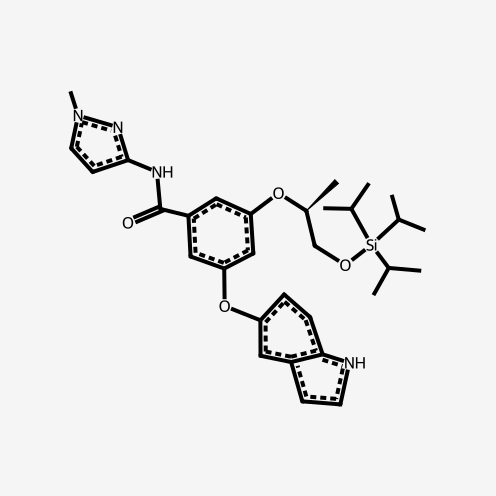 CC(C)[Si](OC[C@H](C)Oc1cc(Oc2ccc3[nH]ccc3c2)cc(C(=O)Nc2ccn(C)n2)c1)(C(C)C)C(C)C